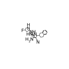 N#Cc1c(C2CCc3ccccc3C2)nn(NN[C@H]2C[C@@H](F)CN2)c1N